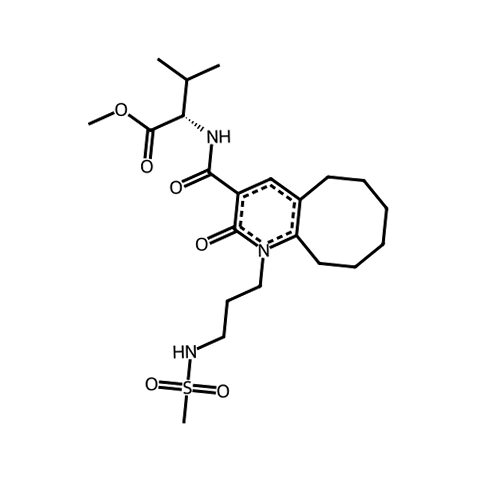 COC(=O)[C@@H](NC(=O)c1cc2c(n(CCCNS(C)(=O)=O)c1=O)CCCCCC2)C(C)C